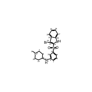 CN1CCC(Nc2cccc(S(=O)(=O)c3[nH]c4ccccc4c3Br)c2)CC1